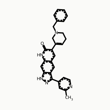 Cc1cc(-c2n[nH]c3cc4[nH]c(=O)c(C5=CCCN(Cc6ccccc6)C5)cc4cc23)ccn1